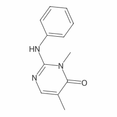 Cc1cnc(Nc2ccccc2)n(C)c1=O